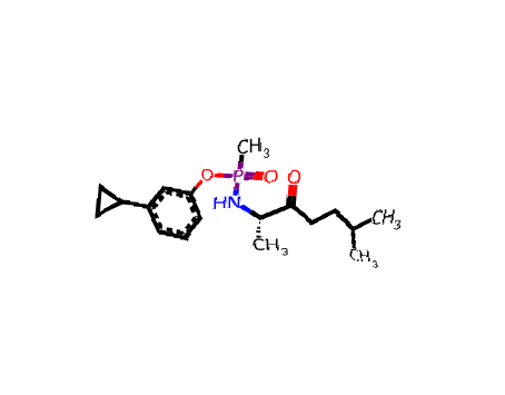 CC(C)CCC(=O)[C@H](C)NP(C)(=O)Oc1cccc(C2CC2)c1